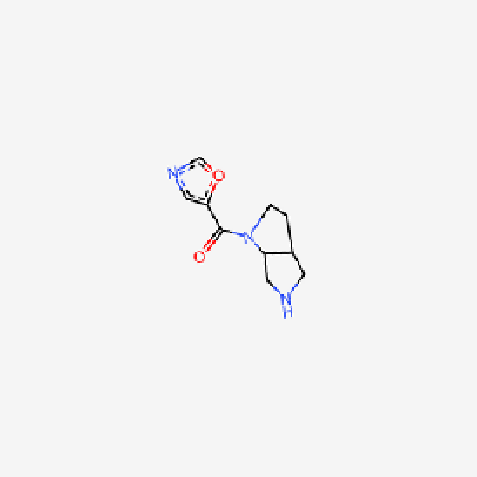 O=C(c1cnco1)N1CCC2CNCC21